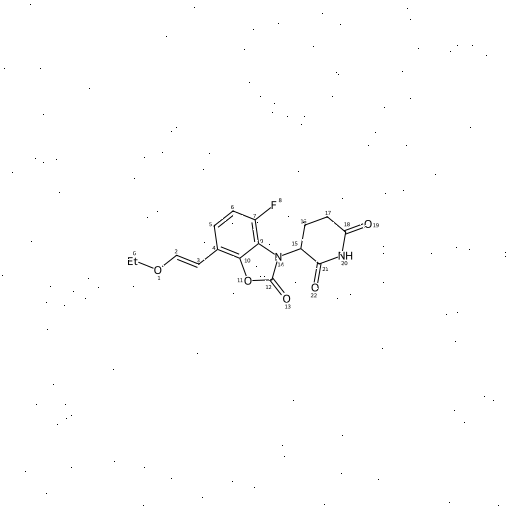 CCOC=Cc1ccc(F)c2c1oc(=O)n2C1CCC(=O)NC1=O